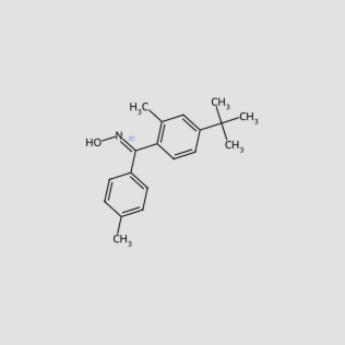 Cc1ccc(/C(=N\O)c2ccc(C(C)(C)C)cc2C)cc1